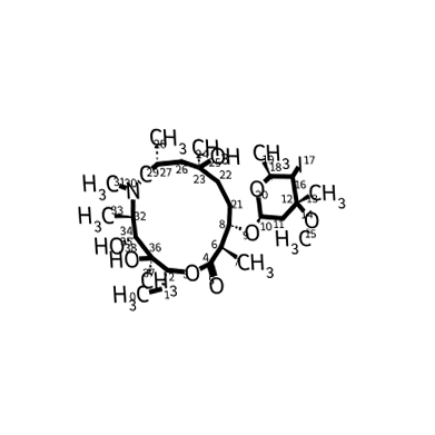 CC[C@H]1OC(=O)[C@H](C)[C@@H](O[C@H]2C[C@@](C)(OC)C(I)[C@H](C)O2)CC[C@](C)(O)C[C@@H](C)CN(C)[C@H](C)[C@@H](O)[C@]1(C)O